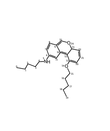 CCCCCNc1ccc2c(c1)=C1C(OCCCCC)=CC=CC1OC=2